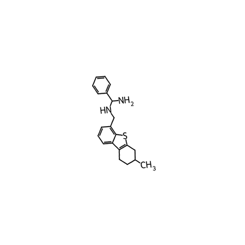 CC1CCc2c(sc3c(CNC(N)c4ccccc4)cccc23)C1